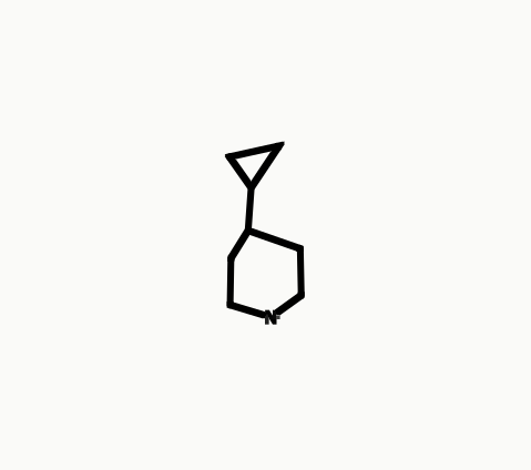 C1CC(C2CC2)CC[N]1